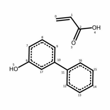 C=CC(=O)O.Oc1cccc(-c2ccccc2)c1